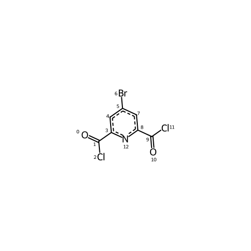 O=C(Cl)c1cc(Br)cc(C(=O)Cl)n1